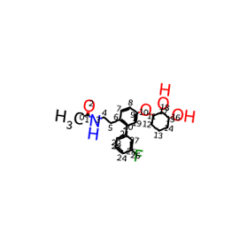 CC(=O)NCCc1ccc(O[C@@H]2CCC[C@@H](O)[C@H]2O)cc1-c1cccc(F)c1